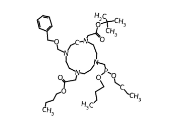 CCCCOC(=O)CN1CCN(COCc2ccccc2)CCN(CC(=O)OC(C)(C)C)CCN(CP(OCCCC)OCCCC)CC1